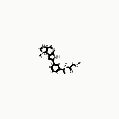 COCC(=O)NC(C)c1cccc(-c2cc3c(ncc4ncn(C)c43)[nH]2)c1